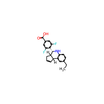 CCc1ccc2c(c1)[C@@H]1C=CC[C@@H]1[C@H](c1c(F)cc(C(=O)O)cc1F)N2